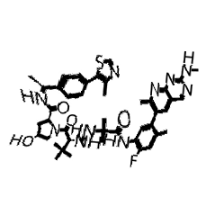 CNc1ncc2cc(-c3cc(NC(=O)C(C)(C)NN[C@@H](C(=O)N4C[C@H](O)C[C@H]4C(=O)N[C@@H](C)c4ccc(-c5scnc5C)cc4)C(C)(C)C)c(F)cc3C)c(C)nc2n1